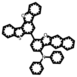 c1ccc(N(c2ccccc2)c2ccc(-c3cc4c5ccccc5oc4c4c3sc3ccccc34)c3oc4cc5ccccc5cc4c23)cc1